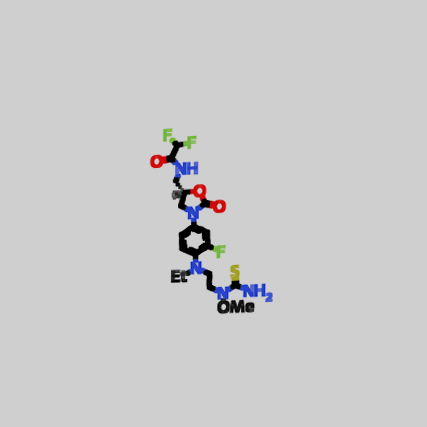 CCN(CCN(OC)C(N)=S)c1ccc(N2C[C@H](CNC(=O)C(F)F)OC2=O)cc1F